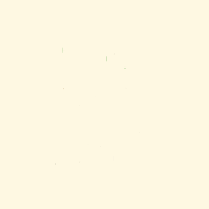 Fc1ccc2c(c1F)-c1c(sc(F)c1F)-c1ccccc1C2I